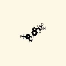 C[C@@H](F)c1cc(C(F)(F)F)ccc1Oc1ccc2c(c1)CC[C@H]2[C@@H]1OC(=O)NC1=O